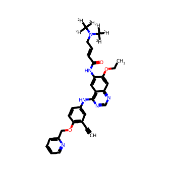 [2H]C([2H])([2H])N(C/C=C/C(=O)Nc1cc2c(Nc3ccc(OCc4ccccn4)c(C#C)c3)ncnc2cc1OCC)C([2H])([2H])[2H]